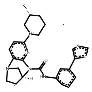 C[C@@H]1CCCN(c2ccc3c(n2)N(C(=O)Nc2cccc(-c4cnco4)c2)[C@H]2CCN3C2)C1